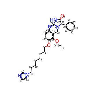 COc1c(OCCCCCCCCn2ccnc2)ccc2c1CN1C(=N2)NC(=O)C1c1ccccc1